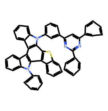 c1ccc(-c2cc(-c3cccc(-n4c5ccccc5c5c6c7ccccc7n(-c7ccccc7)c6c6c7ccccc7sc6c54)c3)nc(-c3ccccc3)n2)cc1